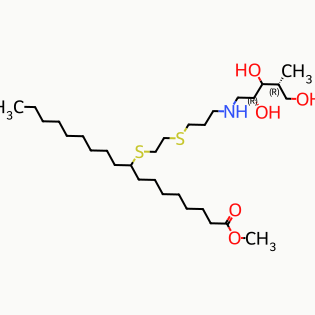 CCCCCCCCCC(CCCCCCCC(=O)OC)SCCSCCCNC[C@@H](O)C(O)[C@H](C)CO